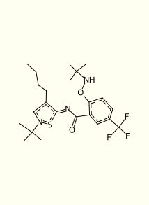 CCCCc1cn(C(C)(C)C)sc1=NC(=O)c1cc(C(F)(F)F)ccc1ONC(C)(C)C